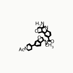 CC(=O)N1CC=C(c2ccc3c(c2)OC[C@H]3N(C)C(=O)c2ccc3nc(N)c4c(c3c2)COC4)CC1